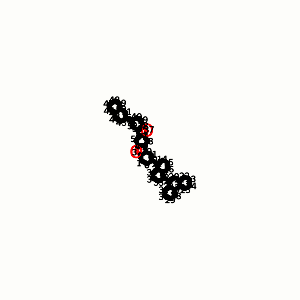 C1=CC2Oc3cc4c(cc3C2C=C1c1cccc2c(-c3cc5ccccc5c5ccccc35)cccc12)oc1ccc(-c2ccc3ccccc3c2)cc14